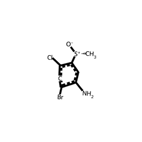 C[S@@+]([O-])c1cc(N)c(Br)cc1Cl